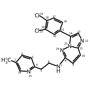 Cc1ccc(CCNc2ccc3ncc(-c4ccc(Cl)c(Cl)c4)n3n2)nc1